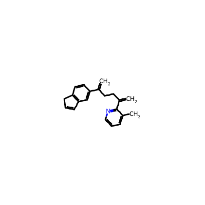 C=C(CCC(=C)c1ncccc1C)c1ccc2c(c1)C=CC2